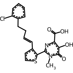 Cn1c(-c2sccc2C=CCCc2ccccc2Cl)nc(C(=O)O)c(O)c1=O